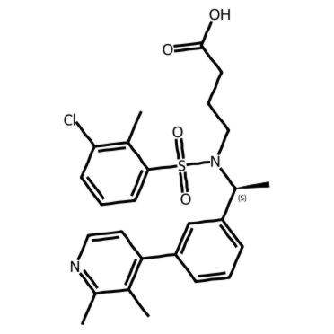 Cc1nccc(-c2cccc([C@H](C)N(CCCC(=O)O)S(=O)(=O)c3cccc(Cl)c3C)c2)c1C